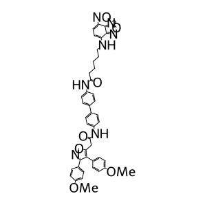 COc1ccc(-c2noc(CC(=O)Nc3ccc(-c4ccc(NC(=O)CCCCCNc5ccc([N+](=O)[O-])c6nonc56)cc4)cc3)c2-c2ccc(OC)cc2)cc1